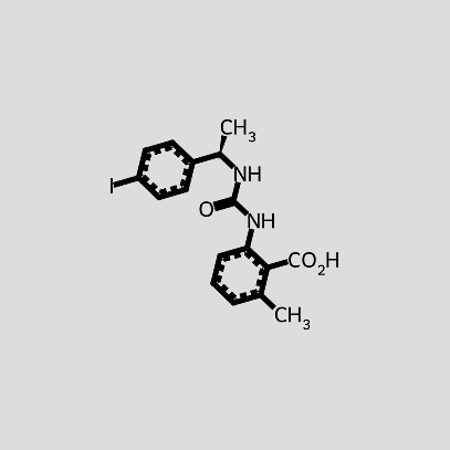 Cc1cccc(NC(=O)N[C@H](C)c2ccc(I)cc2)c1C(=O)O